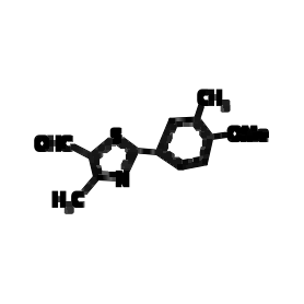 COc1ccc(-c2nc(C)c(C=O)s2)cc1C